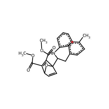 COC(=O)C1=C(C(=O)OC)C2(C(Cc3ccc(C)cc3)Nc3ccccc3)C=CC1O2